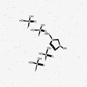 CCCCN1C=CN(CCC)C1.O=P(O)(O)F.O=P(O)(O)F.O=P(O)(O)F.O=P(O)(O)F